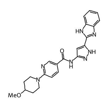 COC1CCN(c2ccc(C(=O)Nc3cc(-c4nc5ccccc5[nH]4)[nH]n3)cn2)CC1